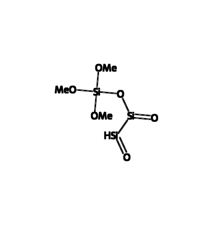 CO[Si](OC)(OC)O[Si](=O)[SiH]=O